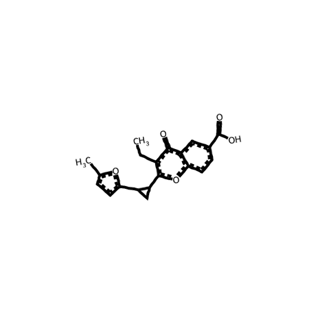 CCc1c(C2CC2c2ccc(C)o2)oc2ccc(C(=O)O)cc2c1=O